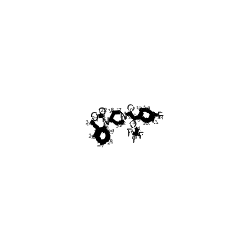 O=C(C(OCC(F)(F)F)c1ccc(F)cc1)N1CCC(N2C(=O)OCc3ccccc32)CC1